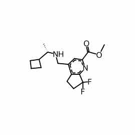 COC(=O)c1cc(CN[C@@H](C)C2CCC2)c2c(n1)C(F)(F)CC2